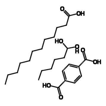 CCCCCC(O)O.CCCCCCCCCCCC(=O)O.O=C(O)c1ccc(C(=O)O)cc1